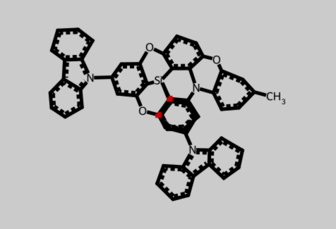 Cc1ccc2c(c1)Oc1ccc3c4c1N2c1cc(-n2c5ccccc5c5ccccc52)cc2c1[Si]4(c1ccccc1)c1c(cc(-n4c5ccccc5c5ccccc54)cc1O3)O2